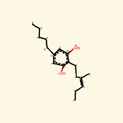 CC/C=C(/C)CCc1c(O)cc(CCCCC)cc1O